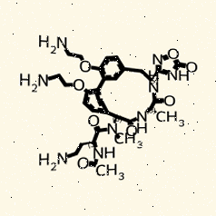 CC(=O)N[C@@H](CCN)C(=O)N(C)[C@@H]1C(=O)N[C@@H](C)C(=O)N[C@H](c2noc(=O)[nH]2)Cc2ccc(OCCN)c(c2)-c2cc1ccc2OCCN